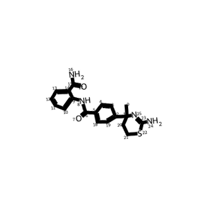 CC1(c2ccc(C(=O)Nc3ccccc3C(N)=O)cc2)CCSC(N)=N1